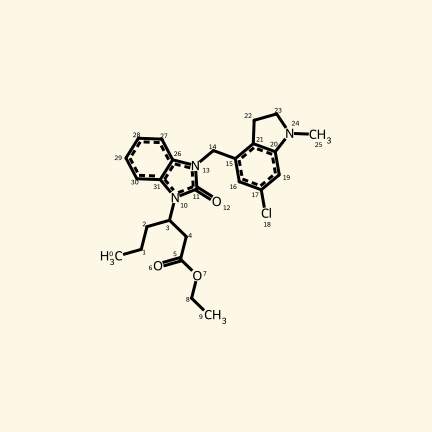 CCCC(CC(=O)OCC)n1c(=O)n(Cc2cc(Cl)cc3c2CCN3C)c2ccccc21